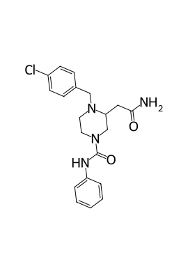 NC(=O)CC1CN(C(=O)Nc2ccccc2)CCN1Cc1ccc(Cl)cc1